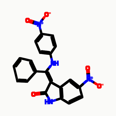 O=C1Nc2ccc([N+](=O)[O-])cc2C1=C(Nc1ccc([N+](=O)[O-])cc1)c1ccccc1